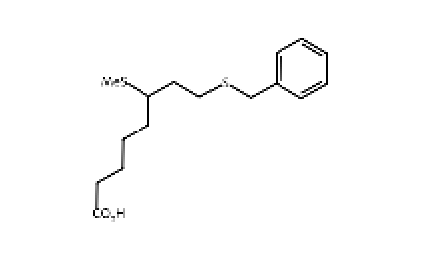 CSC(CCCCC(=O)O)CCSCc1ccccc1